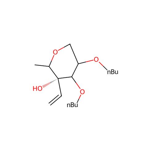 C=C[C@@]1(O)C(C)OCC(OCCCC)C1OCCCC